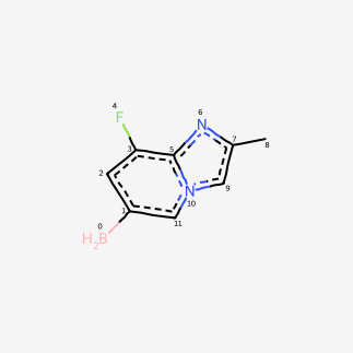 Bc1cc(F)c2nc(C)cn2c1